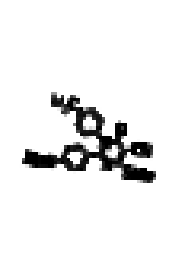 CSc1ccc(-c2nc(SC)c(C#N)c(=O)n2-c2ccc(C)cc2)cc1